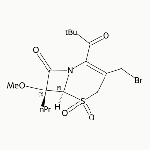 CCC[C@@]1(OC)C(=O)N2C(C(=O)C(C)(C)C)=C(CBr)CS(=O)(=O)[C@H]21